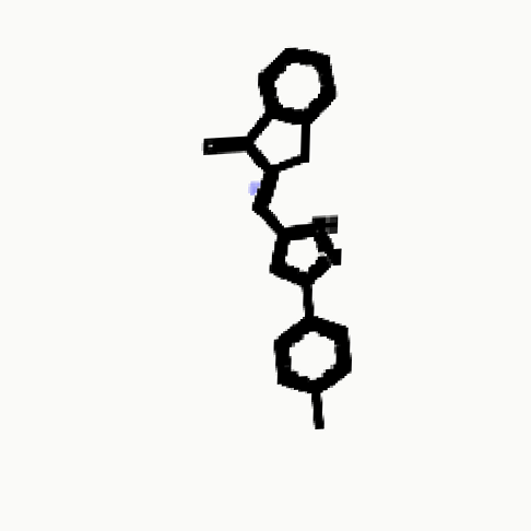 Cc1ccc(-c2cc(/C=C3\Cc4ccccc4C3=O)[nH]n2)cc1